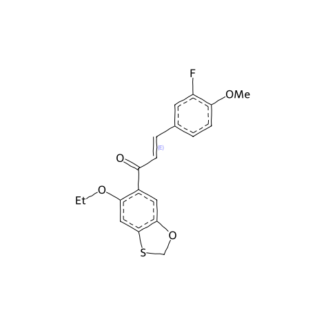 CCOc1cc2c(cc1C(=O)/C=C/c1ccc(OC)c(F)c1)OCS2